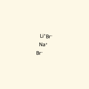 [Br-].[Br-].[Li+].[Na+]